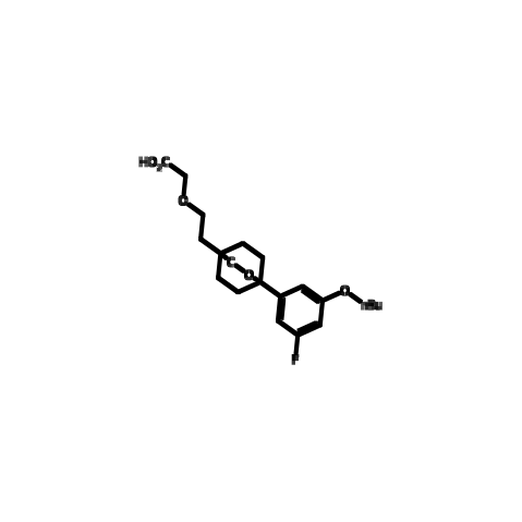 CCCCOc1cc(F)cc(C23CCC(CCOCC(=O)O)(CC2)CO3)c1